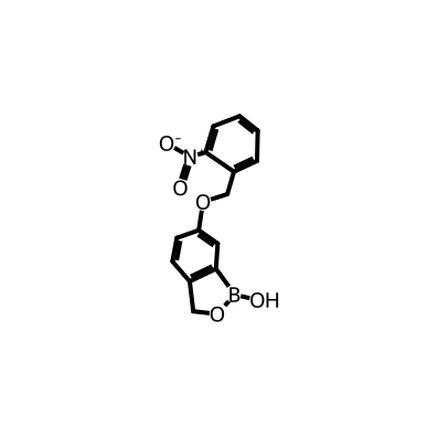 O=[N+]([O-])c1ccccc1COc1ccc2c(c1)B(O)OC2